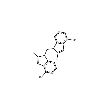 CC1=Cc2c(Br)cccc2C1CC1C(C)=Cc2c(C(C)C)cccc21